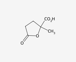 CC1(C(=O)O)CCC(=O)O1